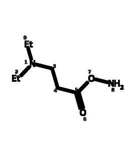 CCN(CC)CCC(=O)ON